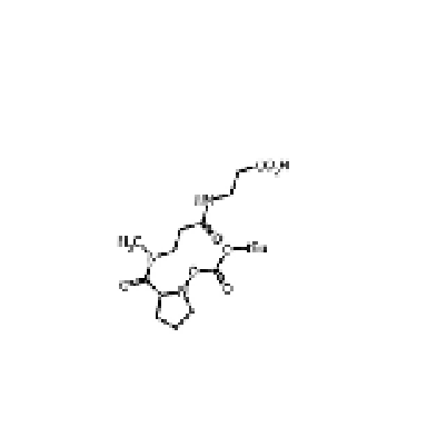 CN(CCC(=O)NCCC(=O)O)C(=O)[C@@H]1CCCN1OC(=O)OC(C)(C)C